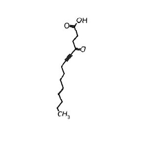 CCCCCCCCC#CC(=O)CCC(=O)O